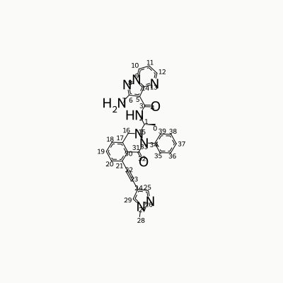 C[C@H](NC(=O)c1c(N)nn2cccnc12)N1Cc2cccc(C#Cc3cnn(C)c3)c2C(=O)N1c1ccccc1